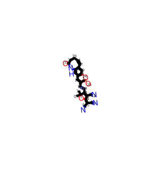 CC1(C)OC(=C(C#N)C#N)C(C#N)=C1/C=C/c1cc2cc3c(cc2oc1=O)C#CCCC(=O)N3